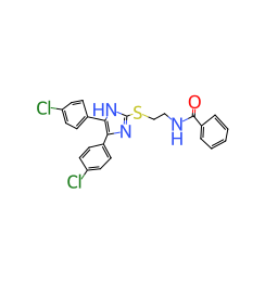 O=C(NCCSc1nc(-c2ccc(Cl)cc2)c(-c2ccc(Cl)cc2)[nH]1)c1ccccc1